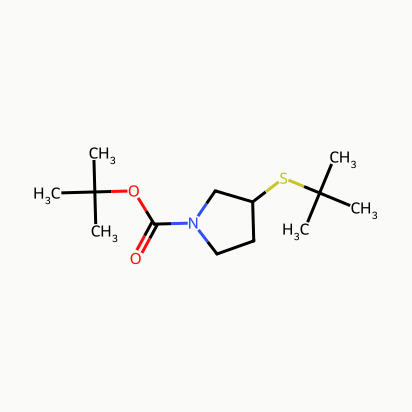 CC(C)(C)OC(=O)N1CCC(SC(C)(C)C)C1